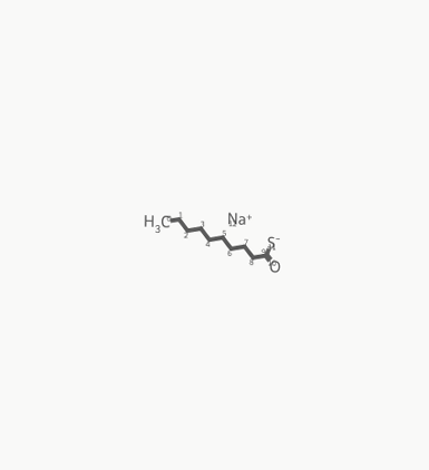 CCCCCCCCCC(=O)[S-].[Na+]